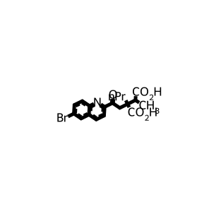 CCCC(CC(=O)c1ccc2cc(Br)ccc2n1)(C(=O)O)C(C)C(=O)O